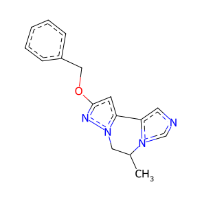 CC1Cn2nc(OCc3ccccc3)cc2-c2cncn21